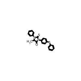 CC1C(=O)N(c2ccc(Sc3ccccc3)cc2)C(=S)N1c1ccccc1